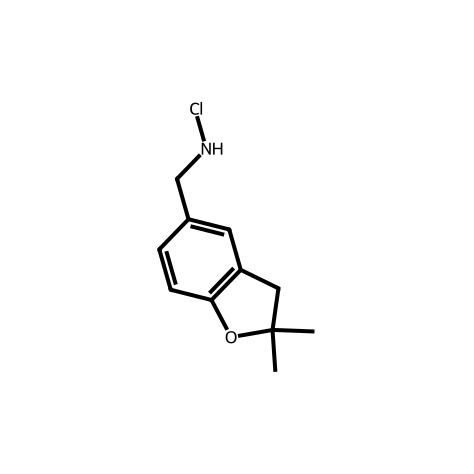 CC1(C)Cc2cc(CNCl)ccc2O1